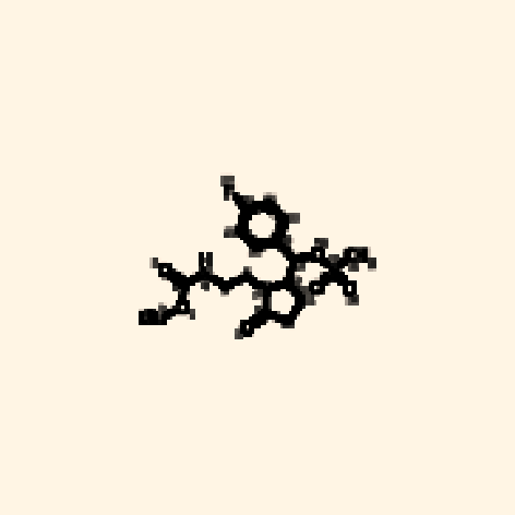 CC(C)(C)OC(=O)NCCN1C(=O)CCC1C(OS(C)(=O)=O)c1ccc(F)cc1